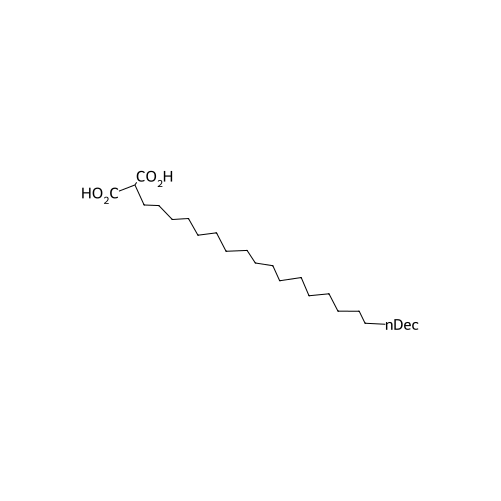 CCCCCCCCCCCCCCCCCCCCCCCCCCCC(C(=O)O)C(=O)O